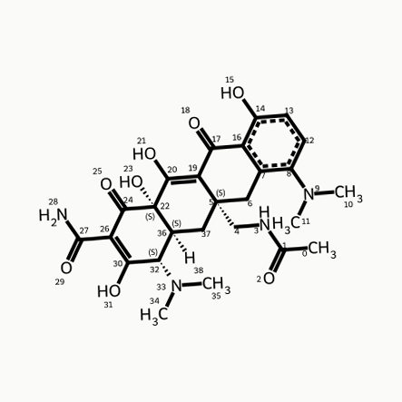 CC(=O)NC[C@@]12Cc3c(N(C)C)ccc(O)c3C(=O)C1=C(O)[C@]1(O)C(=O)C(C(N)=O)=C(O)[C@@H](N(C)C)[C@@H]1C2